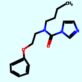 CCCCN(CCOc1ccccc1)C(=O)n1ccnc1